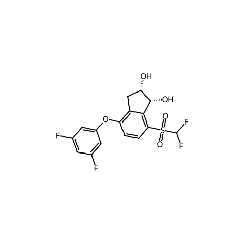 O=S(=O)(c1ccc(Oc2cc(F)cc(F)c2)c2c1[C@@H](O)[C@@H](O)C2)C(F)F